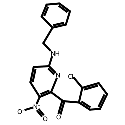 O=C(c1ccccc1Cl)c1nc(NCc2ccccc2)ccc1[N+](=O)[O-]